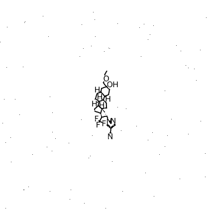 CCOC[C@@]1(O)CC[C@H]2[C@H](CC[C@@H]3[C@@H]2CC[C@]2(C)[C@@H](C(Cn4cc(C#N)cn4)C(F)(F)F)CC[C@@H]32)C1